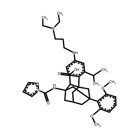 CCN(CC)CCCNc1ccc(C23CC4CC(c5c(OC)cccc5OC)(CC(NC(=O)n5cccn5)(C4)C2C(=O)O)C3)c(C(C)C)c1